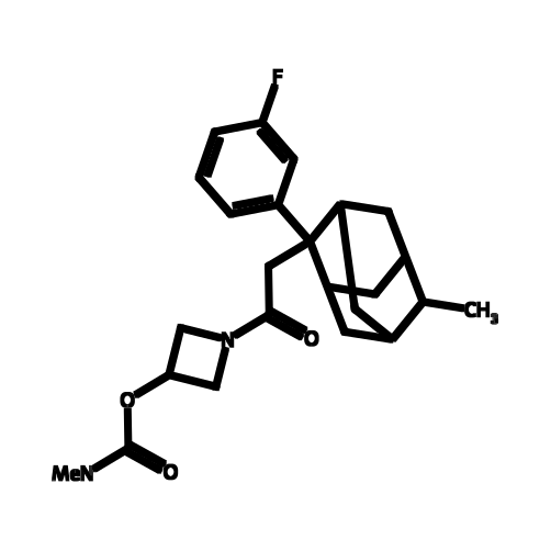 CNC(=O)OC1CN(C(=O)CC2(c3cccc(F)c3)C3CC4CC2CC(C3)C4C)C1